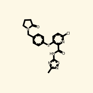 Cc1nsc(NC(=O)c2nc(Cl)ccc2Sc2ccc(CN3CCCC3=O)cc2)n1